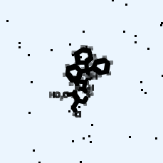 O=C(O)C1=C(CCl)CS[C@@H]2[C@H](NC(c3ccccc3)(c3ccccc3)c3ccccc3)C(=O)N12